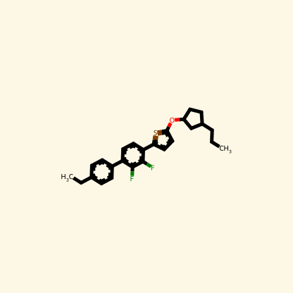 CCCC1CCC(Oc2ccc(-c3ccc(-c4ccc(CC)cc4)c(F)c3F)s2)C1